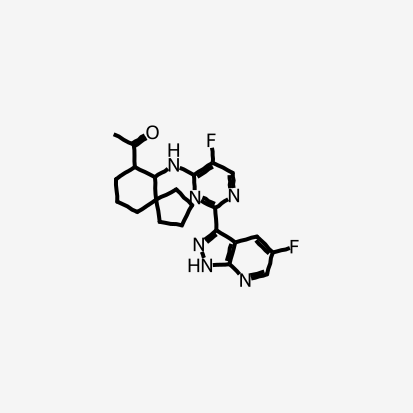 CC(=O)C1CCCC2(CCCC2)C1Nc1nc(-c2n[nH]c3ncc(F)cc23)ncc1F